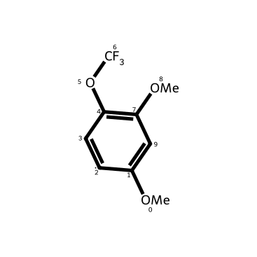 COc1[c]cc(OC(F)(F)F)c(OC)c1